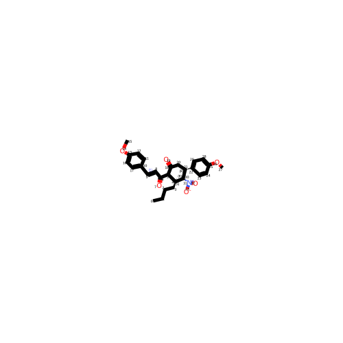 CCCC[C@H]1C(C(=O)/C=C/c2ccc(OC)cc2)C(=O)C[C@H](c2ccc(OC)cc2)[C@@H]1[N+](=O)[O-]